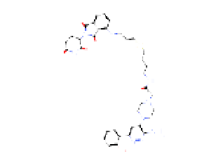 Nc1nnc(-c2ccccc2O)cc1N1CCN(CC(=O)NCCCCS(=O)(=O)CCCNc2cccc3c2C(=O)N(C2CCC(=O)NC2=O)C3=O)CC1